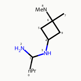 CCCC(N)NC1CC(C)(NC)C1